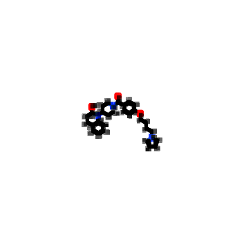 O=C(c1ccc(OCCCCn2cccc2)cc1)N1CCC(N2C(=O)CCc3ccccc32)CC1